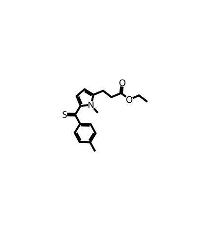 CCOC(=O)CCc1ccc(C(=S)c2ccc(C)cc2)n1C